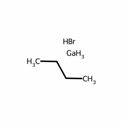 Br.CCCC.[GaH3]